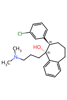 CN(C)CCC[C@]1(O)c2ccccc2CCC[C@@H]1c1cccc(Cl)c1